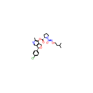 Cc1ncc2c(c1OC(=O)[C@@H]1CCCN1/[N+]([O-])=N/OCCC(C)C)CO[C@H]2c1ccc(Cl)cc1